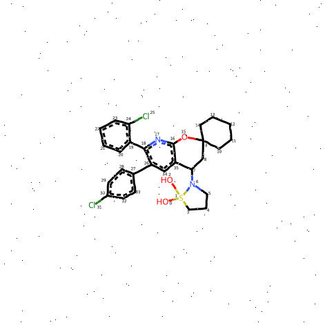 OS1(O)CCCN1C1CC2(CCCCC2)Oc2nc(-c3ccccc3Cl)c(-c3ccc(Cl)cc3)cc21